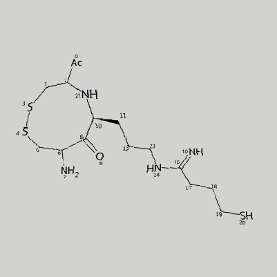 CC(=O)C1CSSCC(N)C(=O)[C@H](CCCNC(=N)CCCS)N1